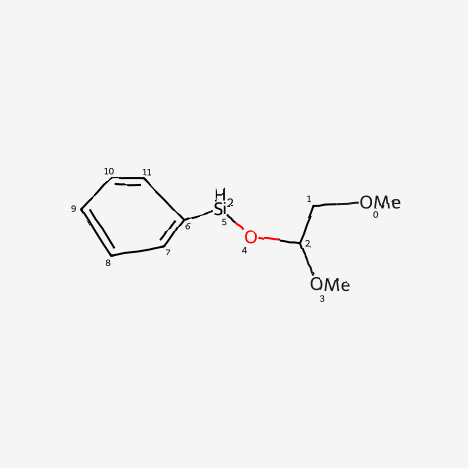 COCC(OC)O[SiH2]c1ccccc1